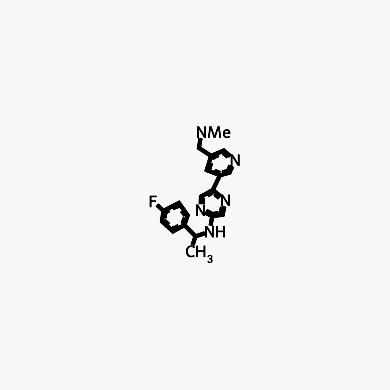 CNCc1cncc(-c2cnc(NC(C)c3ccc(F)cc3)cn2)c1